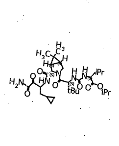 CC(C)OC(=O)[C@@H](NC(=O)N[C@H](C(=O)N1C[C@H]2[C@@H]([C@H]1C(=O)NC(CC1CC1)C(=O)C(N)=O)C2(C)C)C(C)(C)C)C(C)C